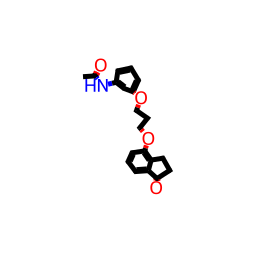 CC(=O)Nc1cccc(OCCCOc2cccc3c2CCC3=O)c1